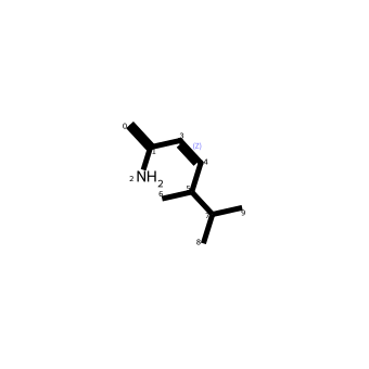 C=C(N)/C=C\C(C)C(C)C